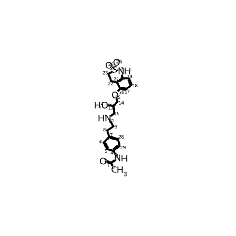 CC(=O)Nc1ccc(CCNCC(O)COc2cccc3c2CCS(=O)(=O)N3)cc1